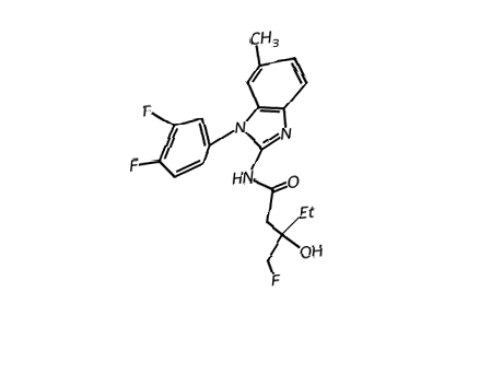 CCC(O)(CF)CC(=O)Nc1nc2ccc(C)cc2n1-c1ccc(F)c(F)c1